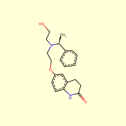 C[C@@H](c1ccccc1)N(CCO)CCOc1ccc2c(c1)CCC(=O)N2